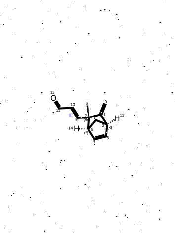 C=C1[C@H]2C=C[C@H](C2)[C@]1(C)/C=C/C=O